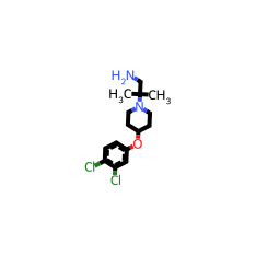 CC(C)(CN)N1CCC(Oc2ccc(Cl)c(Cl)c2)CC1